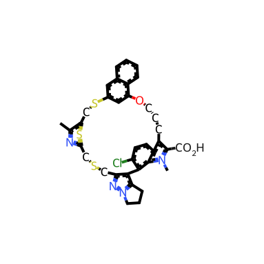 Cc1nc2sc1CSc1cc(c3ccccc3c1)OCCCc1c(C(=O)O)n(C)c3c(c(Cl)ccc13)-c1c(nn3c1CCC3)CSC2